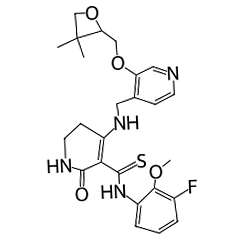 COc1c(F)cccc1NC(=S)C1=C(NCc2ccncc2OCC2OCC2(C)C)CCNC1=O